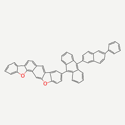 c1ccc(-c2ccc3cc(-c4c5ccccc5c(-c5ccc6oc7cc8c(ccc9c%10ccccc%10oc89)cc7c6c5)c5ccccc45)ccc3c2)cc1